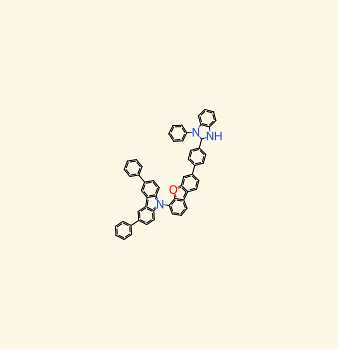 c1ccc(-c2ccc3c(c2)c2cc(-c4ccccc4)ccc2n3-c2cccc3c2oc2cc(-c4ccc(C5Nc6ccccc6N5c5ccccc5)cc4)ccc23)cc1